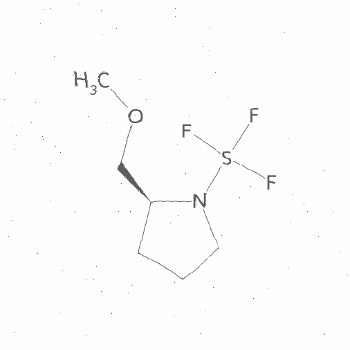 COC[C@@H]1CCCN1S(F)(F)F